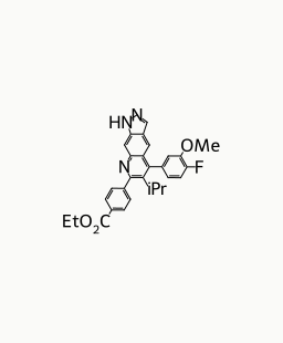 CCOC(=O)c1ccc(-c2nc3cc4[nH]ncc4cc3c(-c3ccc(F)c(OC)c3)c2C(C)C)cc1